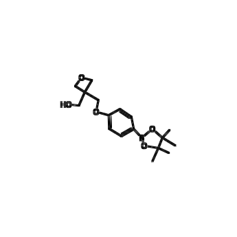 CC1(C)OB(c2ccc(OCC3(CO)COC3)cc2)OC1(C)C